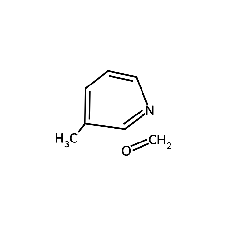 C=O.Cc1cccnc1